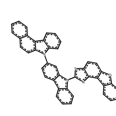 c1ccc2c(c1)ccc1c2c2ccccc2n1-c1ccc2c3ccccc3n(-c3nc4c(ccc5oc6ccccc6c54)s3)c2c1